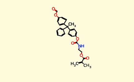 C=C(C)C(=O)OCCNC(=O)Oc1ccc(C(C)(c2ccccc2)c2ccc(OC=O)cc2)cc1